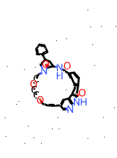 O=C1NC2CC(c3ccccc3)CN(CCOCCOCC=Cc3cnc4c(c3)[C@]3(Cc5ccc1cc5C3)C(=O)N4)C2=O